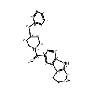 O=C(c1ccc2[nH]c3c(c2c1)CCNC3)N1CCC(Cc2ccccc2)CC1